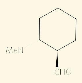 CN[C@@H]1CCCC[C@H]1C=O